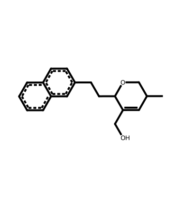 CC1C=C(CO)C(CCc2ccc3ccccc3c2)OC1